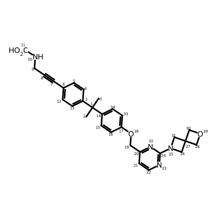 CC(C)(c1ccc(C#CCNC(=O)O)cc1)c1ccc(OCc2ccnc(N3CC4(COC4)C3)n2)cc1